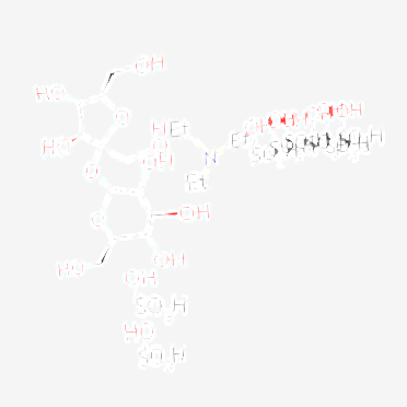 CCN(CC)CC.O=S(=O)(O)O.O=S(=O)(O)O.O=S(=O)(O)O.O=S(=O)(O)O.O=S(=O)(O)O.O=S(=O)(O)O.O=S(=O)(O)O.O=S(=O)(O)O.OC[C@H]1O[C@@](CO)(O[C@H]2O[C@H](CO)[C@@H](O)[C@H](O)[C@H]2O)[C@@H](O)[C@@H]1O